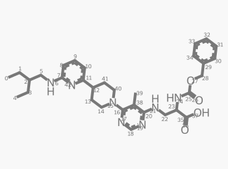 CCC(CC)CNc1cccc(C2CCN(c3ncnc(NCC(NC(=O)OCc4ccccc4)C(=O)O)c3C)CC2)n1